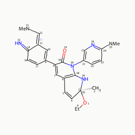 CCO[C@@]1(C)C=Cc2cc(C3=C/C(=C/NC)C(=N)C=C3)c(=O)n(-c3ccc(NC)nc3)c2N1